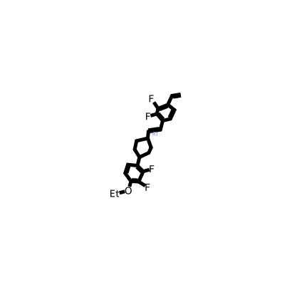 C=Cc1ccc(/C=C/C2CCC(c3ccc(OCC)c(F)c3F)CC2)c(F)c1F